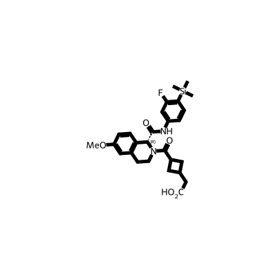 COc1ccc2c(c1)CCN(C(=O)C1CC(CC(=O)O)C1)[C@H]2C(=O)Nc1ccc([Si](C)(C)C)c(F)c1